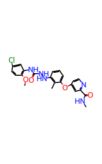 CNC(=O)c1cc(Oc2cccc(NNC(=O)Nc3cc(Cl)ccc3OC)c2C)ccn1